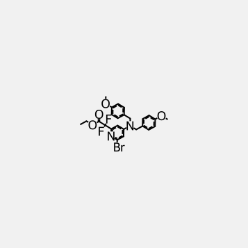 CCOC(=O)C(F)(F)c1cc(N(Cc2ccc(OC)cc2)Cc2ccc(OC)cc2)cc(Br)n1